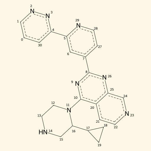 c1cnnc(-c2cc(-c3nc(N4CCNCC4C4CC4)c4ccncc4n3)ccn2)c1